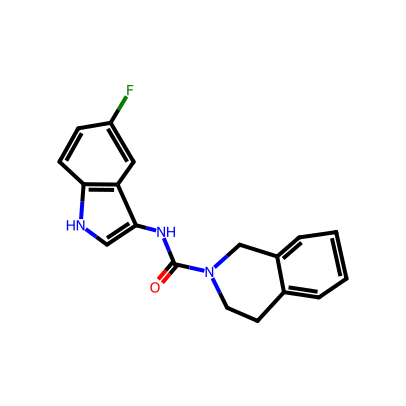 O=C(Nc1c[nH]c2ccc(F)cc12)N1CCc2ccccc2C1